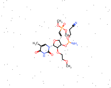 COCCO[C@@H]1[C@H](OP(N)OCCC#N)[C@@H](/C=C/P(=O)(OC)OC)O[C@H]1n1cc(C)c(=O)[nH]c1=O